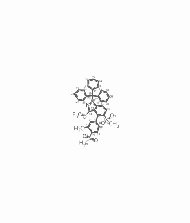 Cc1cc(-c2c(S(C)(=O)=O)ccc3c2c(OC(F)(F)F)nn3C(c2ccccc2)(c2ccccc2)c2ccccc2)ccc1S(C)(=O)=O